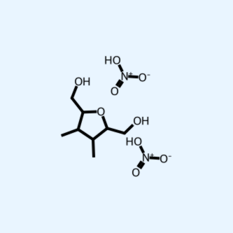 CC1C(CO)OC(CO)C1C.O=[N+]([O-])O.O=[N+]([O-])O